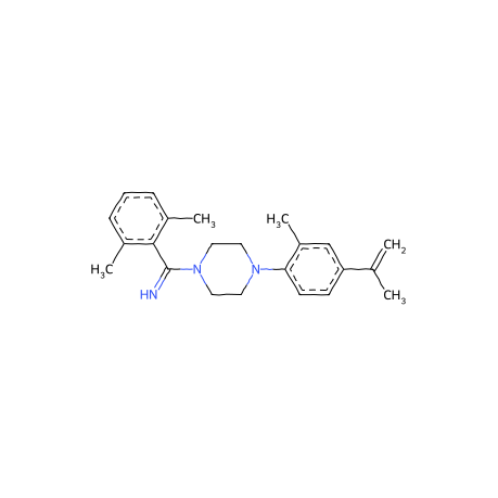 C=C(C)c1ccc(N2CCN(C(=N)c3c(C)cccc3C)CC2)c(C)c1